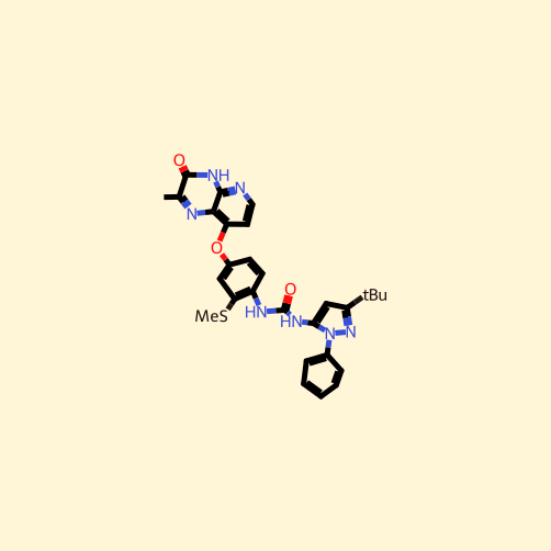 CSc1cc(Oc2ccnc3[nH]c(=O)c(C)nc23)ccc1NC(=O)Nc1cc(C(C)(C)C)nn1-c1ccccc1